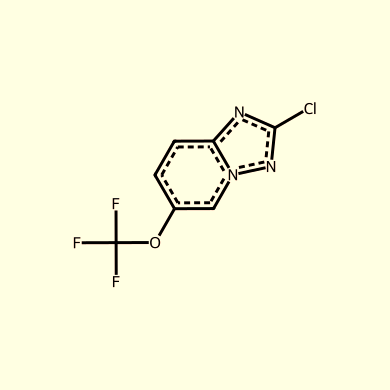 FC(F)(F)Oc1ccc2nc(Cl)nn2c1